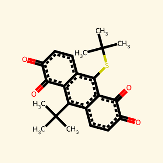 CC(C)(C)Sc1c2ccc(=O)c(=O)c2c(C(C)(C)C)c2ccc(=O)c(=O)c12